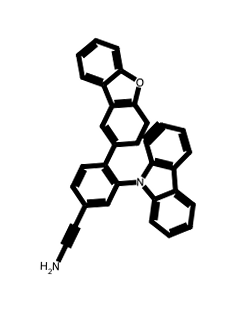 NC#Cc1ccc(C2=Cc3c(oc4ccccc34)CC2)c(-n2c3c#cccc3c3ccccc32)c1